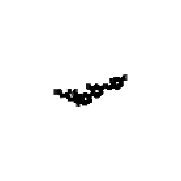 Cc1c(CCCO)nc2ccc(-n3ccc(OCc4ccc(Cl)cn4)cc3=O)cn12